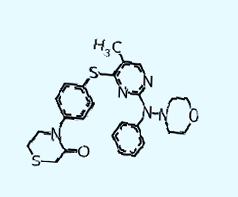 Cc1cnc(N(c2ccccc2)N2CCOCC2)nc1Sc1ccc(N2CCSCC2=O)cc1